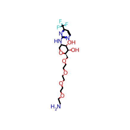 NCCOCCOCCOCCOC[C@H]1OC[C@H](Nc2nccc(C(F)(F)F)n2)[C@@H](O)[C@H]1O